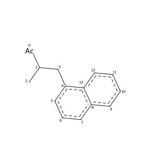 CC(=O)C(C)Cc1cccc2ccccc12